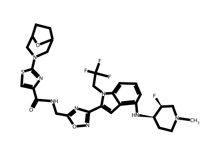 CN1CC[C@@H](Nc2cccc3c2cc(-c2noc(CNC(=O)c4csc(N5CC6CCC(C5)O6)n4)n2)n3CC(F)(F)F)[C@@H](F)C1